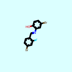 Oc1ccc(Br)cc1N=Cc1ccc(Br)cc1F